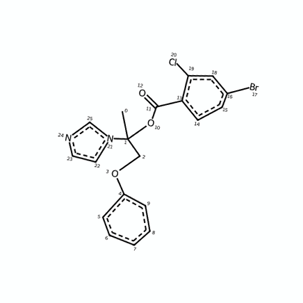 CC(COc1ccccc1)(OC(=O)c1ccc(Br)cc1Cl)n1ccnc1